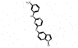 CCn1ccc2cc(Oc3ccnc(Nc4cccc(N)c4)n3)ccc21